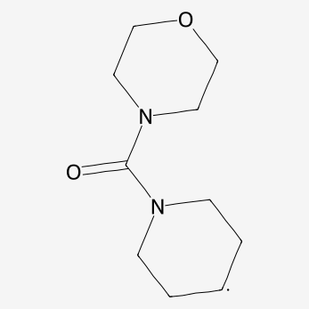 O=C(N1CC[CH]CC1)N1CCOCC1